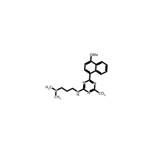 COc1ccc(-c2nc(NCCCN(C)C)nc(C(Cl)(Cl)Cl)n2)c2ccccc12